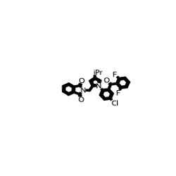 CC(C)c1cc(CN2C(=O)c3ccccc3C2=O)n(-c2ccc(Cl)cc2C(=O)c2c(F)cccc2F)c1